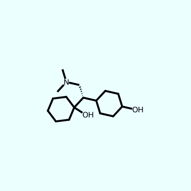 CN(C)C[C@H](C1CCC(O)CC1)C1(O)CCCCC1